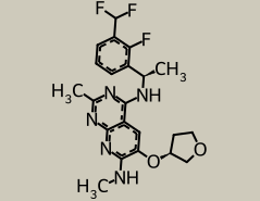 CNc1nc2nc(C)nc(N[C@H](C)c3cccc(C(F)F)c3F)c2cc1O[C@H]1CCOC1